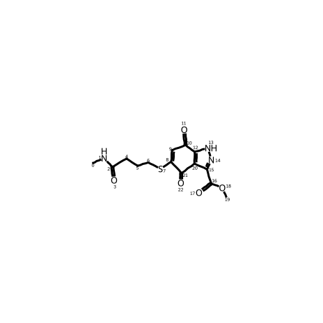 CNC(=O)CCCSC1=CC(=O)c2[nH]nc(C(=O)OC)c2C1=O